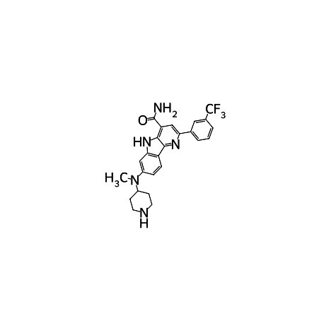 CN(c1ccc2c(c1)[nH]c1c(C(N)=O)cc(-c3cccc(C(F)(F)F)c3)nc12)C1CCNCC1